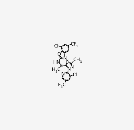 Cc1nc([C@H](C)Nc2nc3cc(C(F)(F)F)cc(Cl)c3o2)n(-c2ncc(C(F)(F)F)cc2Cl)n1